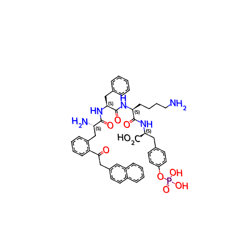 NCCCC[C@H](NC(=O)[C@H](Cc1ccccc1)NC(=O)[C@@H](N)Cc1ccccc1C(=O)Cc1ccc2ccccc2c1)C(=O)N[C@@H](Cc1ccc(OP(=O)(O)O)cc1)C(=O)O